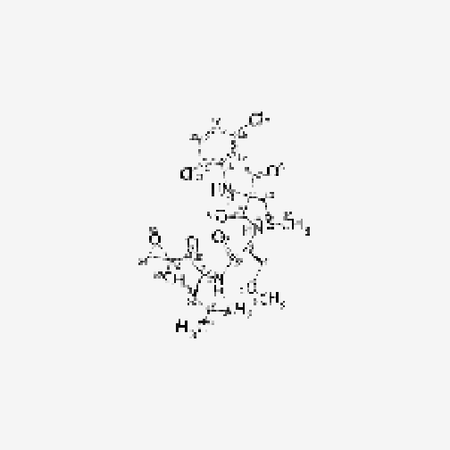 COC[C@H](NC(=O)[C@](C=O)(CSC)Nc1cc(Cl)ccc1Cl)C(=O)N[C@@H](CC(C)C)C(=O)C1(C)CO1